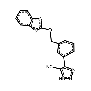 N#Cc1[nH]nnc1-c1cccc(COc2nc3ccccc3s2)c1